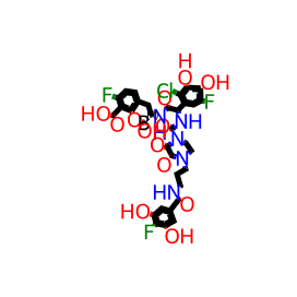 O=C(NCCCN1CCN(C(=O)NC(C(=O)N[C@H]2Cc3ccc(F)c(C(=O)O)c3OB2O)c2cc(F)c(O)c(O)c2Cl)C(=O)C1=O)c1cc(O)c(F)c(O)c1